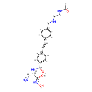 CC(=O)NCCNCc1ccc(C#Cc2ccc(C(=O)N[C@@H](CN)C(=O)NO)cc2)cc1